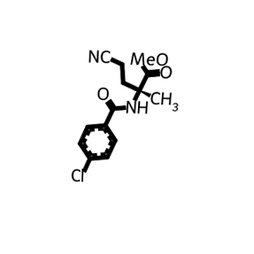 COC(=O)[C@@](C)(CCC#N)NC(=O)c1ccc(Cl)cc1